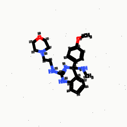 CNC1(c2ccc(OC)cc2)N=C(NCCN2CCOCC2)Nc2ccccc21